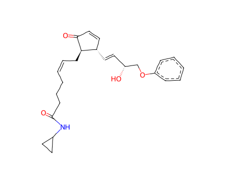 O=C(CCC/C=C\C[C@H]1C(=O)C=C[C@@H]1/C=C/[C@@H](O)COc1ccccc1)NC1CC1